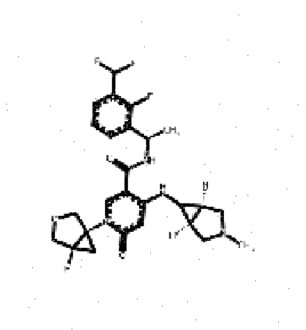 C[C@@H](NC(=O)c1cn([C@]23COC[C@H]2C3)c(=O)cc1NC1[C@H]2CN(C)C[C@@H]12)c1cccc(C(F)F)c1F